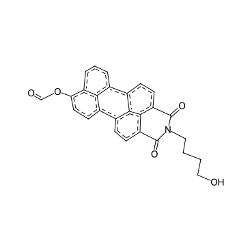 O=COc1ccc2c3ccc4c5c(ccc(c6cccc1c62)c53)C(=O)N(CCCCO)C4=O